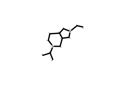 CCN1CC2CCN(C(C)C)CC2C1